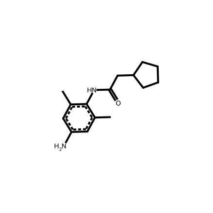 Cc1cc(N)cc(C)c1NC(=O)CC1CCCC1